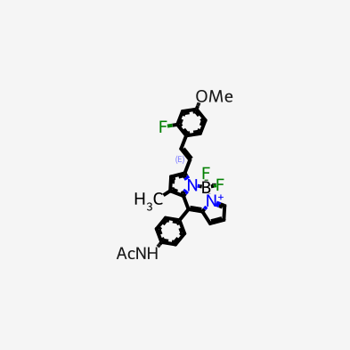 COc1ccc(/C=C/c2cc(C)c3n2[B-](F)(F)[N+]2=CC=CC2=C3c2ccc(NC(C)=O)cc2)c(F)c1